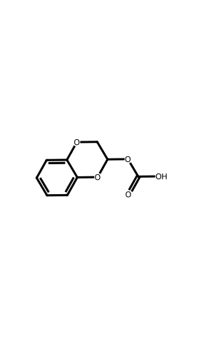 O=C(O)OC1COc2ccccc2O1